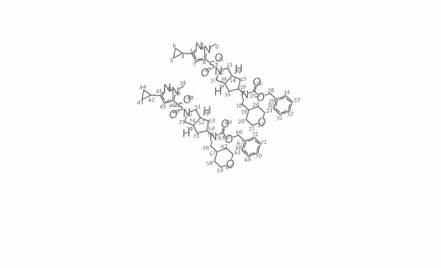 Cn1nc(C2CC2)cc1S(=O)(=O)N1C[C@H]2CC(N(CC3CCOCC3)C(=O)OCc3ccccc3)C[C@H]2C1.Cn1nc(C2CC2)cc1S(=O)(=O)N1C[C@H]2CC(N(CC3CCOCC3)C(=O)OCc3ccccc3)C[C@H]2C1